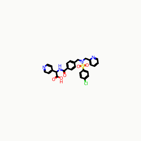 O=C(NC(C(=O)O)c1ccncc1)c1ccc(CN(Cc2ccccn2)S(=O)(=O)c2ccc(Cl)cc2)cc1